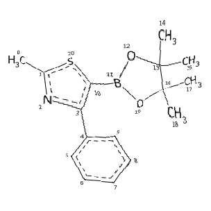 Cc1nc(-c2ccccc2)c(B2OC(C)(C)C(C)(C)O2)s1